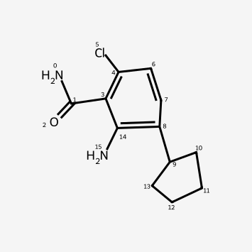 NC(=O)c1c(Cl)ccc(C2CCCC2)c1N